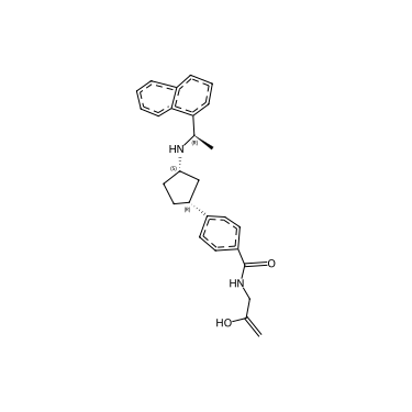 C=C(O)CNC(=O)c1ccc([C@@H]2CC[C@H](N[C@H](C)c3cccc4ccccc34)C2)cc1